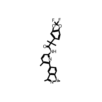 Cc1ccc(NC(=O)C(C)(C)c2ccc3c(c2)OC(F)(F)O3)nc1-c1ccc2c(c1)c(C)nn2C